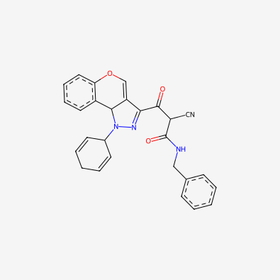 N#CC(C(=O)NCc1ccccc1)C(=O)C1=NN(C2C=CCC=C2)C2C1=COc1ccccc12